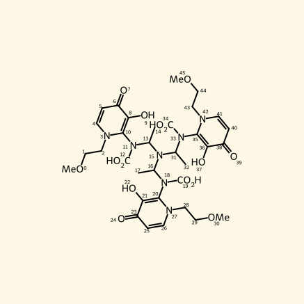 COCCn1ccc(=O)c(O)c1N(C(=O)O)C(C)N(C(C)N(C(=O)O)c1c(O)c(=O)ccn1CCOC)C(C)N(C(=O)O)c1c(O)c(=O)ccn1CCOC